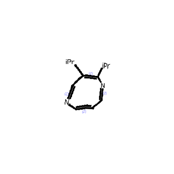 CC(C)C1=C(C(C)C)/N=C\C=C/N=C\1